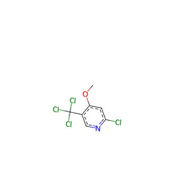 COc1cc(Cl)ncc1C(Cl)(Cl)Cl